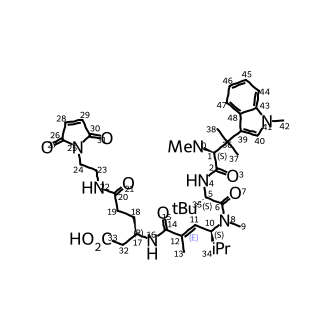 CN[C@H](C(=O)N[C@H](C(=O)N(C)[C@H](/C=C(\C)C(=O)N[C@H](CCC(=O)NCCN1C(=O)C=CC1=O)CC(=O)O)C(C)C)C(C)(C)C)C(C)(C)c1cn(C)c2ccccc12